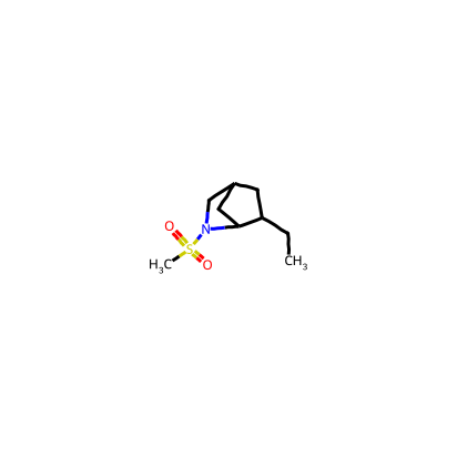 CCC1CC2CC1N(S(C)(=O)=O)C2